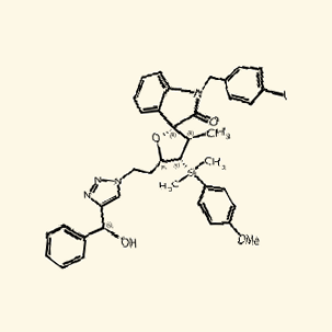 COc1ccc([Si](C)(C)[C@@H]2[C@@H](CCn3cc([C@@H](O)c4ccccc4)nn3)O[C@]3(C(=O)N(Cc4ccc(I)cc4)c4ccccc43)[C@H]2C)cc1